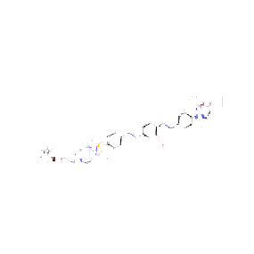 COc1cc(/C=C/c2ccc(S(=O)(=O)N3CCN(CCO[Si](C)(C)C(C)(C)C)CC3)cc2)ccc1/C=C/c1ccc(N(C(=O)O)C(C)(C)C)cc1